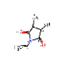 C=CN1C(=O)C(CC)C(CCC)C1=O